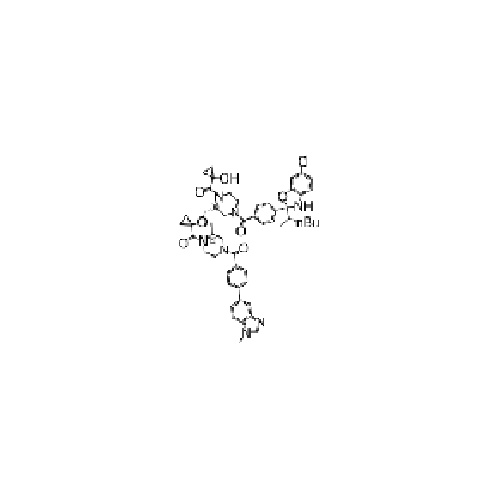 CCCCC(C)C1(c2ccc(C(=O)N3CCN(C(=O)C4(O)CC4)[C@@H](COC4(C(=O)N5CCN(C(=O)c6ccc(-c7ccc8c(c7)ncn8C)cc6)C[C@@H]5C)CC4)C3)cc2)Nc2ccc(Cl)cc2O1